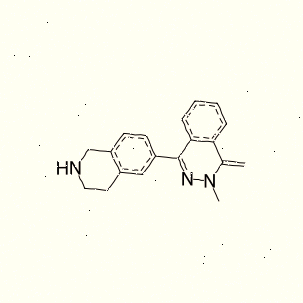 C=C1c2ccccc2C(c2ccc3c(c2)CCNC3)=NN1C